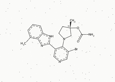 Cc1cccc2[nH]c(-c3cncc(Br)c3N3CC[C@](C)(OC(N)=O)C3)nc12